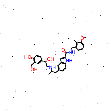 COc1cccc(CNC(=O)c2cc3cc(C[C@@H](C)NC[C@H](O)c4ccc(O)c(CO)c4)ccc3[nH]2)c1C